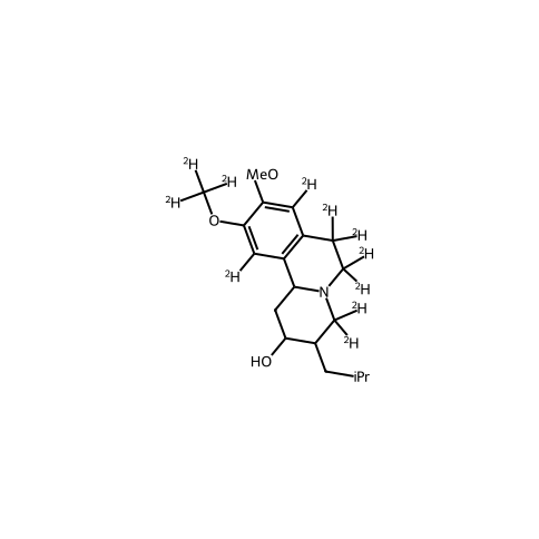 [2H]c1c(OC([2H])([2H])[2H])c(OC)c([2H])c2c1C1CC(O)C(CC(C)C)C([2H])([2H])N1C([2H])([2H])C2([2H])[2H]